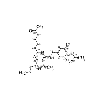 CCCc1nn(C)c2c(NCc3ccc(OC(C)C)c(Cl)c3)nc(CCCCC(=O)O)nc12